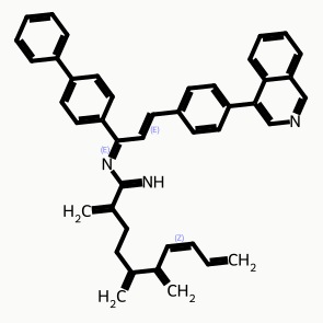 C=C/C=C\C(=C)C(=C)CCC(=C)C(=N)/N=C(\C=C\c1ccc(-c2cncc3ccccc23)cc1)c1ccc(-c2ccccc2)cc1